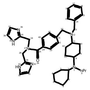 CCCN(C1CCCCC1)C1CCC(N(Cc2ccccc2)Cc2ccc(C(=O)N(Cc3ncc[nH]3)Cc3ncc[nH]3)cc2)CC1